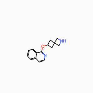 c1ccc2c(OC3CC4(CNC4)C3)nccc2c1